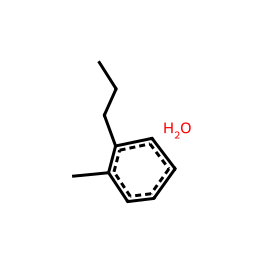 CCCc1ccccc1C.O